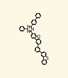 c1ccc(-c2ccc(-c3nc(-c4ccccc4)nc(-c4ccc5c(c4)oc4ccc(-c6cccc(-c7ccc8sc9ccccc9c8c7)c6)cc45)n3)cc2)cc1